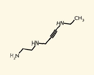 CCNC#CCNCCN